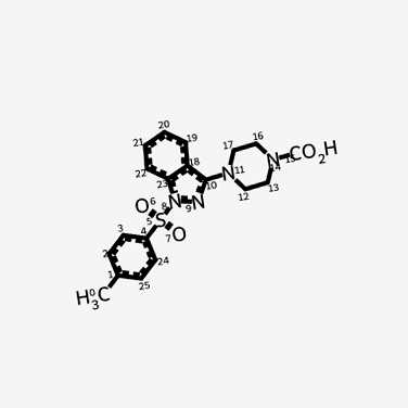 Cc1ccc(S(=O)(=O)n2nc(N3CCN(C(=O)O)CC3)c3ccccc32)cc1